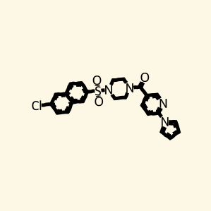 O=C(c1ccc(-n2cccc2)nc1)N1CCN(S(=O)(=O)c2ccc3cc(Cl)ccc3c2)CC1